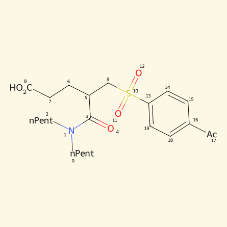 CCCCCN(CCCCC)C(=O)C(CCC(=O)O)CS(=O)(=O)c1ccc(C(C)=O)cc1